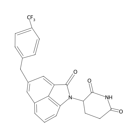 O=C1CCC(N2C(=O)c3cc(Cc4ccc(C(F)(F)F)cc4)cc4cccc2c34)C(=O)N1